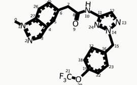 Cn1ncc2cc(CC(=O)Nc3cnn(Cc4ccc(OC(F)(F)F)cc4)n3)ccc21